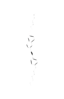 CCCCCCCOc1ccc2cc(C#Cc3ccc(CCCCCCC)cc3)ccc2c1